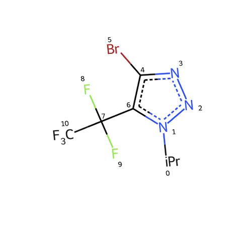 CC(C)n1nnc(Br)c1C(F)(F)C(F)(F)F